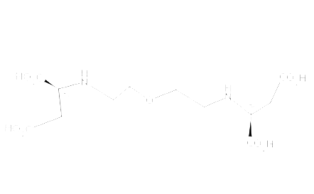 O=C(O)C[C@H](NCCOCCN[C@@H](CC(=O)O)C(=O)O)C(=O)O